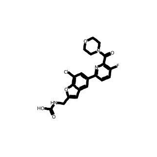 O=C(O)NCc1cc2cc(-c3ccc(F)c(C(=O)N4CCOCC4)n3)cc(Cl)c2o1